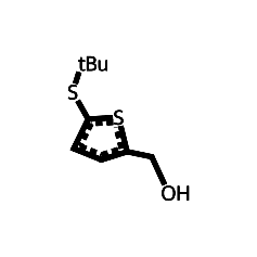 CC(C)(C)Sc1ccc(CO)s1